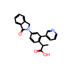 CC(C(=O)O)c1ccc(N2Cc3ccccc3C2=O)cc1-c1cccnc1